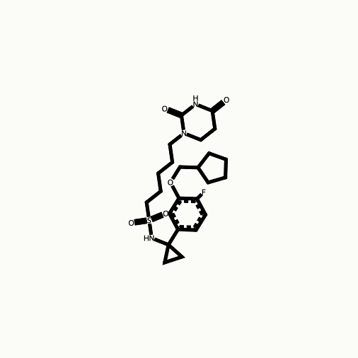 O=C1CCN(CCCCCS(=O)(=O)NC2(c3ccc(F)c(OCC4CCCC4)c3)CC2)C(=O)N1